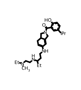 CCC(CCNC1=CCC2CN(C(=O)c3cc(C(C)C)ccc3O)CC2=C1)NCCN(C)CC